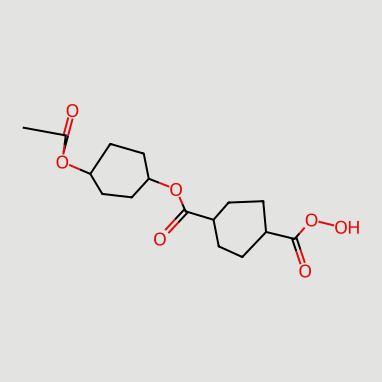 CC(=O)OC1CCC(OC(=O)C2CCC(C(=O)OO)CC2)CC1